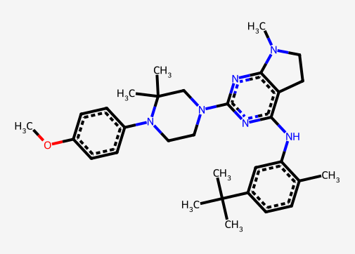 COc1ccc(N2CCN(c3nc(Nc4cc(C(C)(C)C)ccc4C)c4c(n3)N(C)CC4)CC2(C)C)cc1